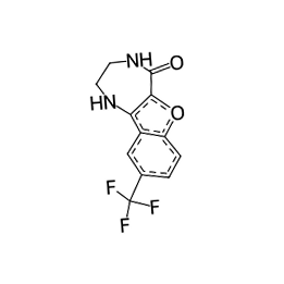 O=C1NCCNc2c1oc1ccc(C(F)(F)F)cc21